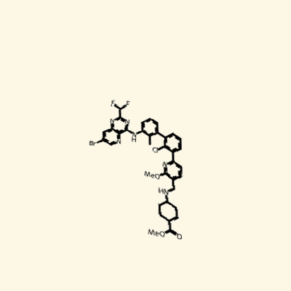 COC(=O)C1CCC(NCc2ccc(-c3cccc(-c4cccc(Nc5nc(C(F)F)nc6cc(Br)cnc56)c4C)c3Cl)nc2OC)CC1